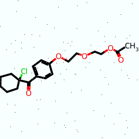 CC(=O)OCCOCCOc1ccc(C(=O)C2(Cl)CCCCC2)cc1